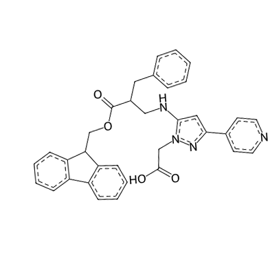 O=C(O)Cn1nc(-c2ccncc2)cc1NCC(Cc1ccccc1)C(=O)OCC1c2ccccc2-c2ccccc21